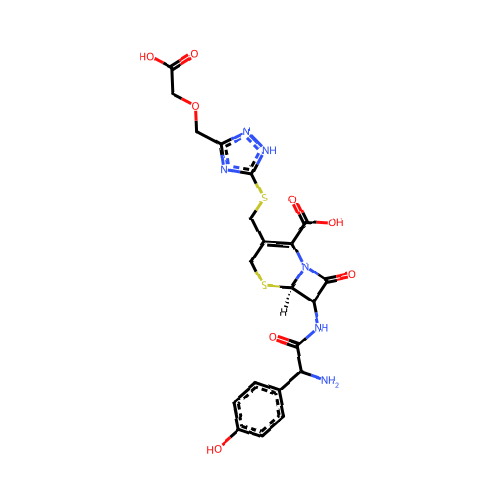 NC(C(=O)NC1C(=O)N2C(C(=O)O)=C(CSc3nc(COCC(=O)O)n[nH]3)CS[C@H]12)c1ccc(O)cc1